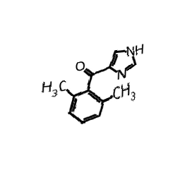 Cc1cccc(C)c1C(=O)c1c[nH]cn1